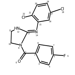 O=C(c1ccc(F)cc1)N1CCNC1=Nc1cc(Cl)ccc1Cl